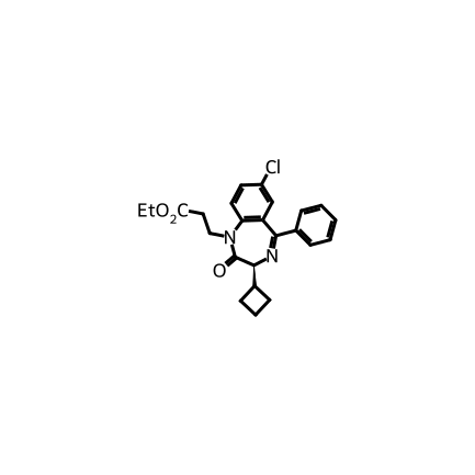 CCOC(=O)CCN1C(=O)[C@H](C2CCC2)N=C(c2ccccc2)c2cc(Cl)ccc21